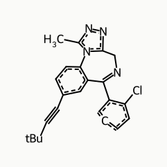 Cc1nnc2n1-c1ccc(C#CC(C)(C)C)cc1C(c1ccccc1Cl)=NC2